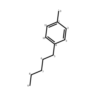 [CH2]c1ccc(CCCCC)cc1